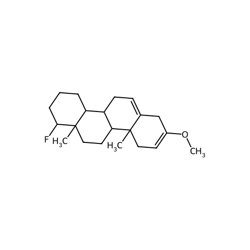 COC1=CCC2(C)C(=CCC3C2CCC2(C)C(F)CCCC32)C1